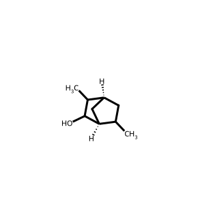 CC1C(O)[C@H]2C[C@@H]1CC2C